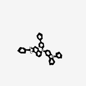 c1ccc(-c2ccc(N(c3ccc4c(c3)c3ccccc3n4-c3ccccc3)c3cccc4c3ccc3nc(-c5ccccc5)oc34)cc2)cc1